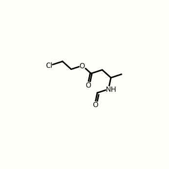 CC(CC(=O)OCCCl)NC=O